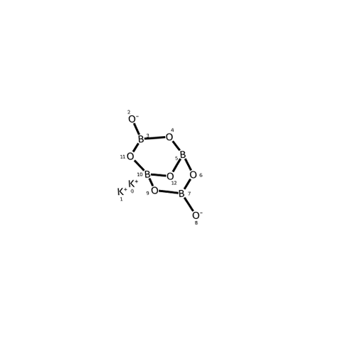 [K+].[K+].[O-]B1OB2OB([O-])OB(O1)O2